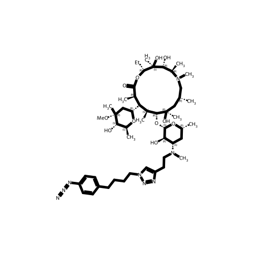 CC[C@H]1OC(=O)[C@H](C)C([C@H]2C[C@@](C)(OC)[C@@H](O)[C@H](C)O2)[C@H](C)[C@@H](O[C@@H]2O[C@H](C)C[C@H](N(C)CCc3cn(CCCCc4ccc(N=[N+]=[N-])cc4)nn3)[C@H]2O)[C@](C)(O)C[C@@H](C)CN(C)[C@H](C)[C@@H](O)[C@]1(C)O